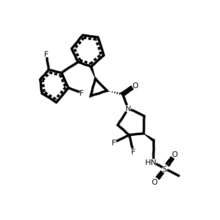 CS(=O)(=O)NC[C@@H]1CN(C(=O)[C@@H]2C[C@H]2c2ccccc2-c2c(F)cccc2F)CC1(F)F